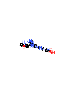 Nc1ncnc2c1c(-c1ccc(Oc3ccccc3)cc1)nn2C1CCN(C2CN(C3CN(c4ccc(C(=O)O)nc4)C3)C2)CC1